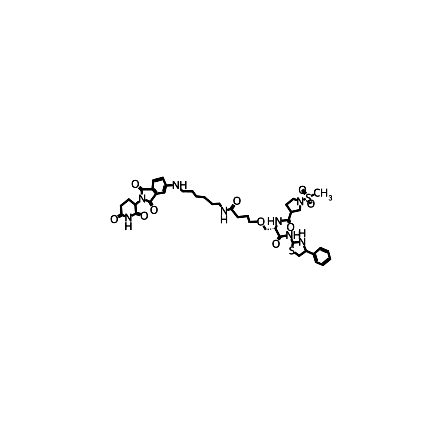 CS(=O)(=O)N1CCC(C(=O)N[C@@H](COCCCC(=O)NCCCCCCNc2ccc3c(c2)C(=O)N(C2CCC(=O)NC2=O)C3=O)C(=O)NC2NC(c3ccccc3)CS2)C1